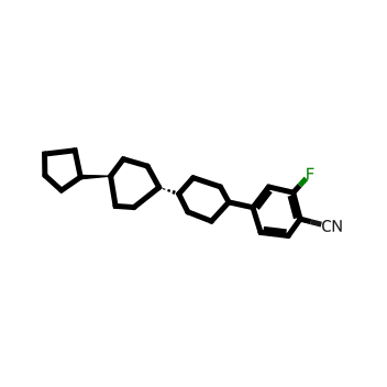 N#Cc1ccc(C2CCC([C@H]3CC[C@H](C4CCCC4)CC3)CC2)cc1F